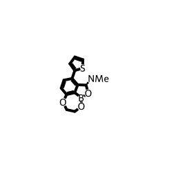 CN[C@H]1OB2OCCOc3ccc(-c4cccs4)c1c32